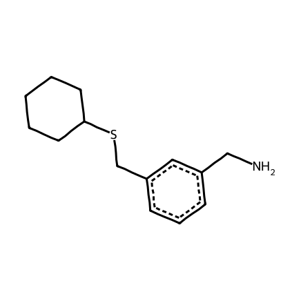 NCc1cccc(CSC2CCCCC2)c1